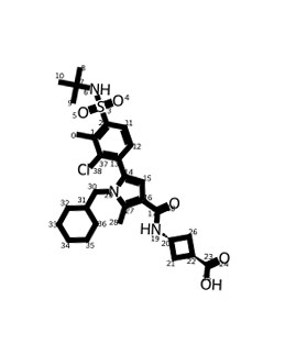 Cc1c(S(=O)(=O)NC(C)(C)C)ccc(-c2cc(C(=O)N[C@H]3C[C@H](C(=O)O)C3)c(C)n2CC2CCCCC2)c1Cl